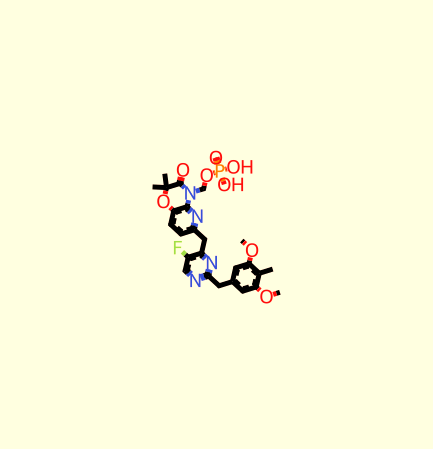 COc1cc(Cc2ncc(F)c(Cc3ccc4c(n3)N(COP(=O)(O)O)C(=O)C(C)(C)O4)n2)cc(OC)c1C